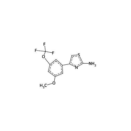 COc1cc(OC(F)(F)F)cc(-c2csc(N)n2)c1